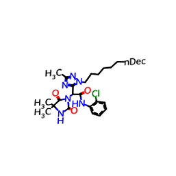 CCCCCCCCCCCCCCCCn1nc(C)nc1C(C(=O)Nc1ccccc1Cl)N1C(=O)NC(C)(C)C1=O